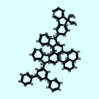 CC1(C)c2ccccc2-c2cc(-n3c4ccccc4c4ccc(-c5cccc6cccc(-c7ccc8c9ccccc9n(-c9cc(-c%10ccccc%10)cc(-c%10ccccc%10)c9)c8c7)c56)cc43)ccc21